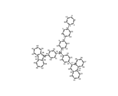 c1ccc(-c2ccc(-c3ccc(N(c4ccc(-c5cc6ccccc6c6ccccc56)cc4)c4ccc(-n5c6ccccc6c6ccccc65)cc4)cc3)cc2)cc1